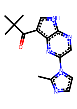 Cc1nccn1-c1cnc2[nH]cc(C(=O)C(C)(C)C)c2n1